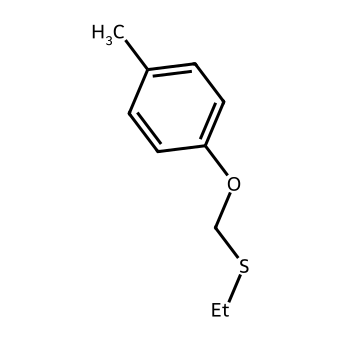 CCSCOc1ccc(C)cc1